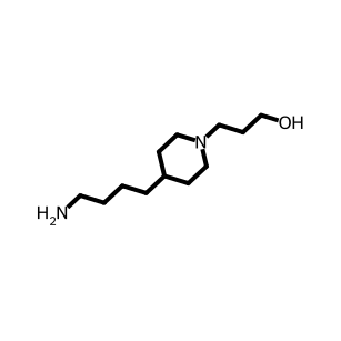 NCCCCC1CCN(CCCO)CC1